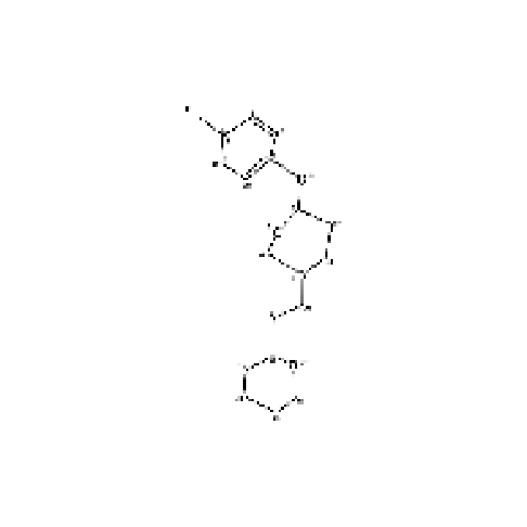 Fc1ccc(OC2CCN(CCC3CCCCO3)CC2)cc1